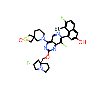 CCc1c(F)ccc2cc(O)cc(-c3ncc4c(N5CCCC6(C5)C[S+]([O-])C6)nc(OC[C@@]56CCCN5C[C@H](F)C6)nc4c3F)c12